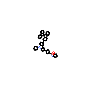 c1ccc(-n2c3ccc(-c4ccc(-c5nc6ccccc6o5)cc4)cc3c3cc(-c4ccc5c(c4)C(c4ccccc4)(c4ccccc4)c4ccccc4-5)ccc32)cc1